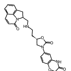 O=C1COc2ccc(N3C[C@@H](CCNCC4Cc5cccc6ccc(=O)n4c56)OC3=O)cc2N1